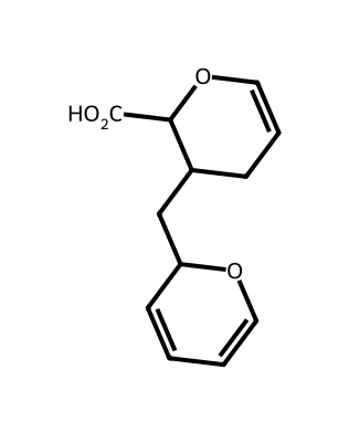 O=C(O)C1OC=CCC1CC1C=CC=CO1